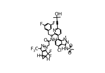 Cn1nc(NS(C)(=O)=O)c2c(Cl)ccc(-c3ccc(C#CC(C)(C)O)nc3[C@H](Cc3cc(F)cc(F)c3)NC(=O)Cn3nc(C(F)(F)F)c4c3C(F)(F)[C@@H]3C[C@H]43)c21